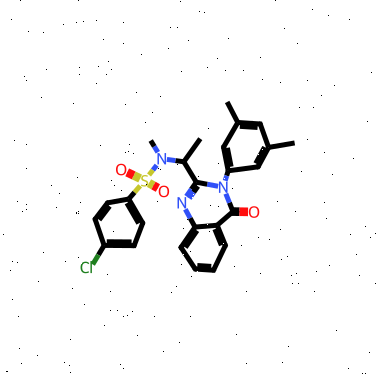 Cc1cc(C)cc(-n2c(C(C)N(C)S(=O)(=O)c3ccc(Cl)cc3)nc3ccccc3c2=O)c1